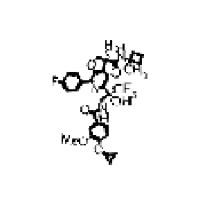 COc1cc(C(=O)NC[C@](O)(c2cc3c(c(-c4ccc(F)cc4)n2)OC[C@]3(C)C(=O)NC2(C)CCC2)C(F)(F)F)ccc1OC1CC1